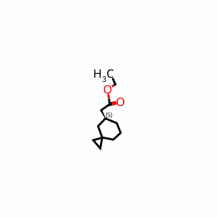 CCOC(=O)C[C@H]1CCCC2(CC2)C1